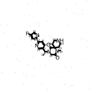 C[C@@H](c1ccc(-n2cc(F)cn2)nc1)N1CC(=O)N(C)C2(CCNCC2)C1=O